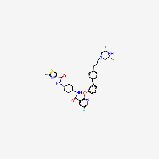 Cc1nc(C(=O)NC2CCC(NC(=O)c3cc(F)cnc3Oc3cccc(-c4ccc(CCCN5C[C@@H](C)N[C@@H](C)C5)cc4)c3)CC2)cs1